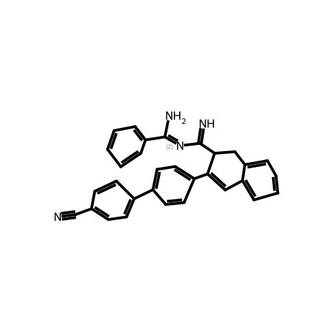 N#Cc1ccc(-c2ccc(C3=Cc4ccccc4CC3C(=N)/N=C(\N)c3ccccc3)cc2)cc1